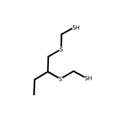 CCC(CSCS)SCS